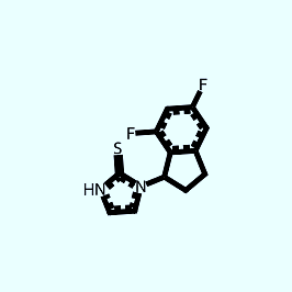 Fc1cc(F)c2c(c1)CCC2n1cc[nH]c1=S